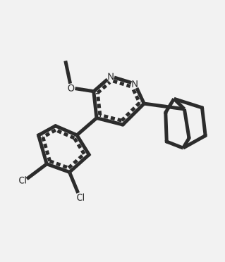 COc1nnc(C2CC3CCC2CC3)cc1-c1ccc(Cl)c(Cl)c1